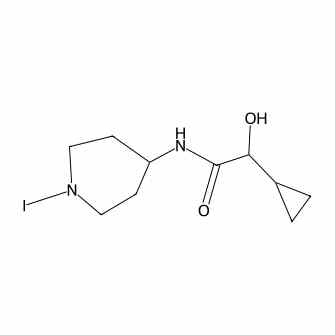 O=C(NC1CCN(I)CC1)C(O)C1CC1